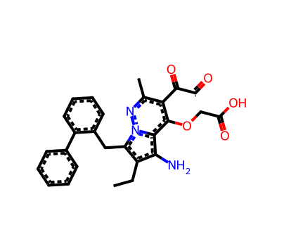 CCc1c(N)c2c(OCC(=O)O)c(C(=O)[C]=O)c(C)nn2c1Cc1ccccc1-c1ccccc1